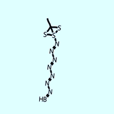 B=NN=NN=NN=NS12SC1(C)S2